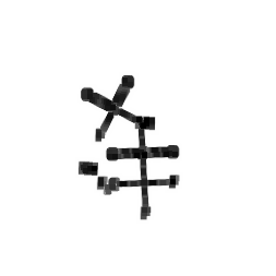 O=S(=O)(F)NS(=O)(=O)C(F)(F)C(F)(F)F.[KH]